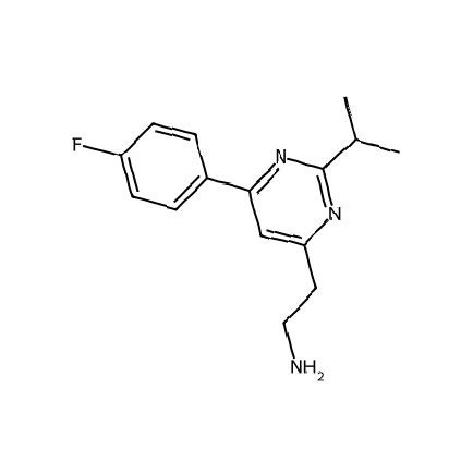 CC(C)c1nc(CCN)cc(-c2ccc(F)cc2)n1